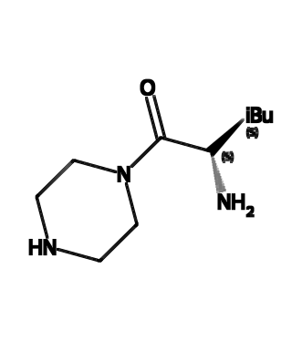 CC[C@H](C)[C@H](N)C(=O)N1CCNCC1